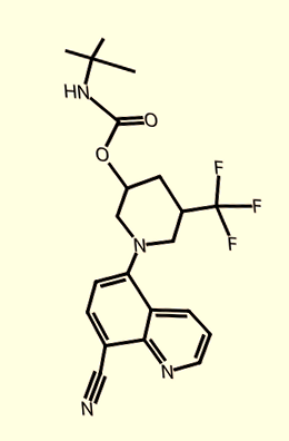 CC(C)(C)NC(=O)OC1CC(C(F)(F)F)CN(c2ccc(C#N)c3ncccc23)C1